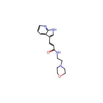 O=C(C=Cc1c[nH]c2ncccc12)NCCN1CCOCC1